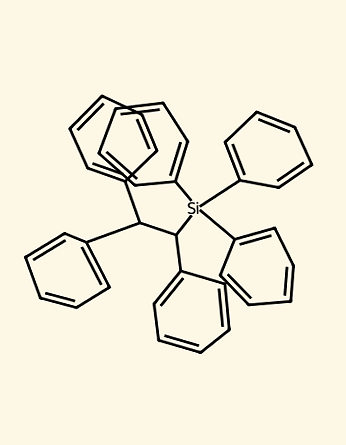 c1ccc(C(c2ccccc2)C(c2ccccc2)[Si](c2ccccc2)(c2ccccc2)c2ccccc2)cc1